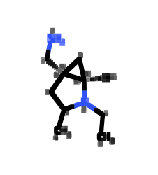 CCN1C(C)C[C@@]2(CN)C[C@@H]12